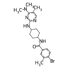 Cc1cc(C(=O)NC2CCC(Nc3ncc(C)c(N(C)C)n3)CC2)ccc1Br